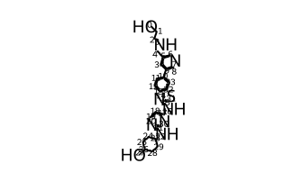 OCCNCc1cncc(-c2ccc3nc(Nc4ccnc(N[C@H]5CC[C@H](O)CC5)n4)sc3c2)c1